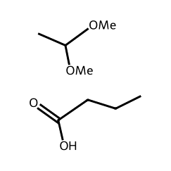 CCCC(=O)O.COC(C)OC